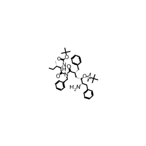 CC[C@H](C)[C@H](NC(=O)OC(C)(C)C)C(=O)N(Cc1ccccc1)C(=O)[C@H](Cc1ccccc1)C[C@H](O[Si](C)(C)C(C)(C)C)[C@@H](N)Cc1ccccc1